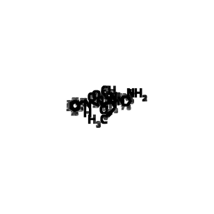 CC#CCn1c(N2CCC[C@@H](N)C2)nc2c1c(=O)n(CC(=O)NCc1ccccc1)c(=O)n2C